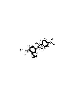 CN(C)c1ccc(N(C)Nc2ccc(N)c(O)c2)cc1